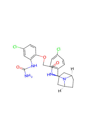 NC(=O)Nc1cc(Cl)ccc1OCC(=O)N[C@H]1C[C@H]2CC[C@@H](C1)N2Cc1ccc(Cl)cc1